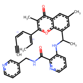 C#C/C=C\C(=C/C)c1oc2c(C(C)Nc3cccnc3C(=O)NCc3cccnc3)cc(C)cc2c(=O)c1C